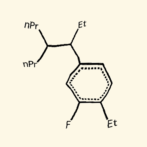 CCCC(CCC)C(CC)c1ccc(CC)c(F)c1